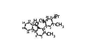 Cc1cc(-c2c(C)ccc3c2oc2ccccc23)[n+](C)cc1C(C)C